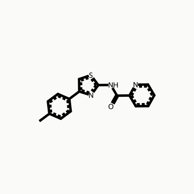 Cc1ccc(-c2csc(NC(=O)c3ccccn3)n2)cc1